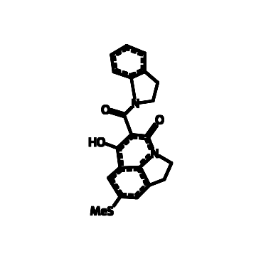 CSc1cc2c3c(c1)c(O)c(C(=O)N1CCc4ccccc41)c(=O)n3CC2